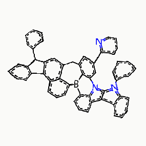 c1ccc(C2c3ccccc3-c3c2cc2c4c(cccc34)B3c4c(cc(-c5ccccn5)cc4-n4c5c3cccc5c3c5ccccc5n(-c5ccccc5)c34)C2)cc1